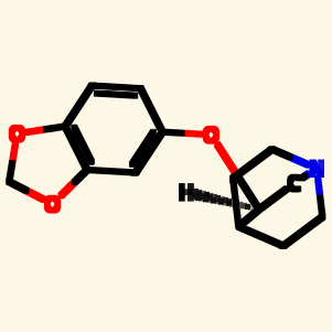 c1cc2c(cc1O[C@H]1CN3CCC1CC3)OCO2